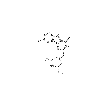 C[C@@H]1CN(Cc2nc3c(oc4ccc(Br)cc43)c(=O)[nH]2)C[C@H](C)N1